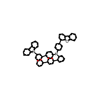 c1ccc(-c2ccc(-c3ccccc3N(c3ccc(-c4cccc(-n5c6ccccc6c6ccccc65)c4)cc3)c3ccc(-c4cccc5c4oc4ccccc45)cc3)cc2)cc1